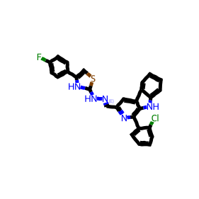 Fc1ccc(C2=CSC(N/N=C/c3cc4c([nH]c5ccccc54)c(-c4ccccc4Cl)n3)N2)cc1